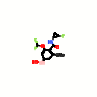 COc1cc(BO)cc(OC(F)F)c1C(=O)N[C@@H]1C[C@@H]1F